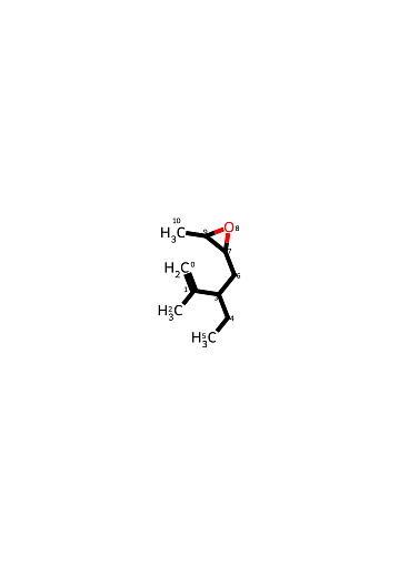 C=C(C)C(CC)CC1OC1C